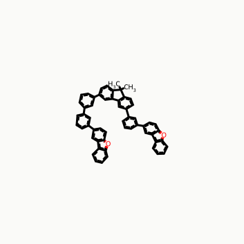 CC1(C)c2ccc(-c3cccc(-c4cccc(-c5ccc6oc7ccccc7c6c5)c4)c3)cc2-c2cc(-c3cccc(-c4ccc5oc6ccccc6c5c4)c3)ccc21